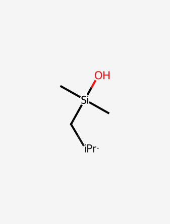 C[C](C)C[Si](C)(C)O